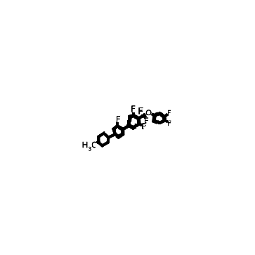 CC1CCC(c2ccc(-c3cc(F)c(C(F)(F)Oc4ccc(F)c(F)c4)c(F)c3)c(F)c2)CC1